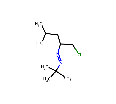 CC(C)CC(CCl)N=NC(C)(C)C